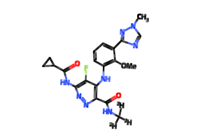 [2H]C([2H])([2H])NC(=O)c1nnc(NC(=O)C2CC2)c(F)c1Nc1cccc(-c2ncn(C)n2)c1OC